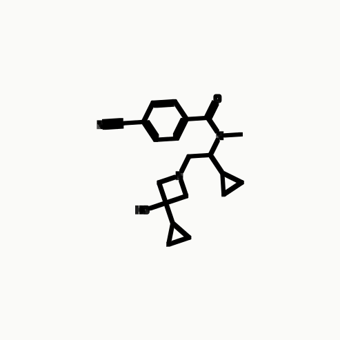 CN(C(=O)c1ccc(C#N)cc1)C(CN1CC(O)(C2CC2)C1)C1CC1